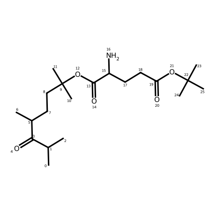 CC(C)C(=O)C(C)CCC(C)(C)OC(=O)C(N)CCC(=O)OC(C)(C)C